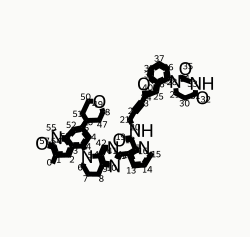 Cc1cc2c(N3CCCc4nc(-c5cccnc5C(=O)NCC#Cc5cc6c(N7CCC(=O)NC7=O)cccc6o5)ncc43)cc(C3CCOCC3)cc2n(C)c1=O